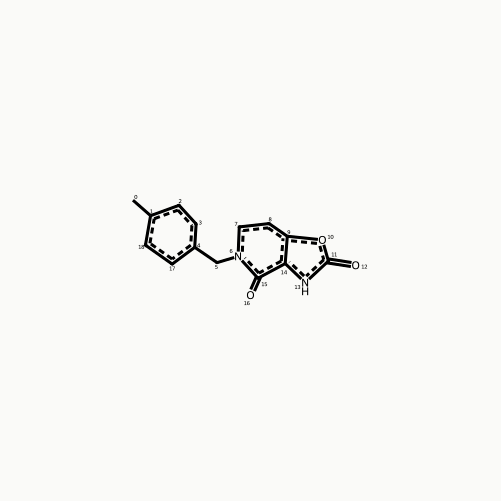 Cc1ccc(Cn2ccc3oc(=O)[nH]c3c2=O)cc1